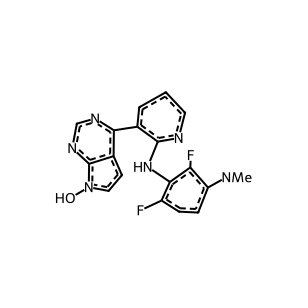 CNc1ccc(F)c(Nc2ncccc2-c2ncnc3c2ccn3O)c1F